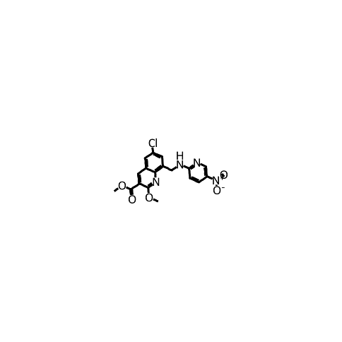 COC(=O)c1cc2cc(Cl)cc(CNc3ccc([N+](=O)[O-])cn3)c2nc1OC